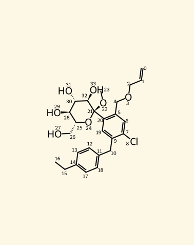 C=CCOCc1cc(Cl)c(Cc2ccc(CC)cc2)cc1[C@]1(OC)O[C@H](CO)[C@@H](O)[C@H](O)[C@H]1O